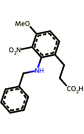 COc1ccc(CCC(=O)O)c(NCc2ccccc2)c1[N+](=O)[O-]